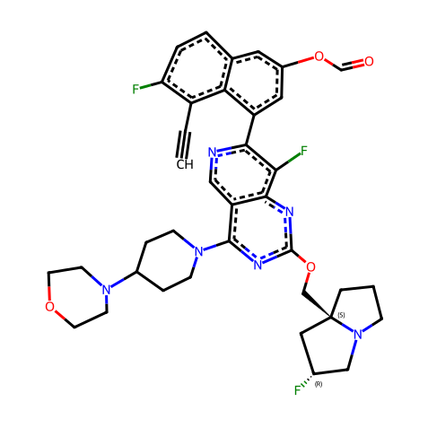 C#Cc1c(F)ccc2cc(OC=O)cc(-c3ncc4c(N5CCC(N6CCOCC6)CC5)nc(OC[C@@]56CCCN5C[C@H](F)C6)nc4c3F)c12